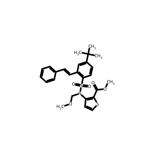 COCN(c1ccsc1C(=O)OC)S(=O)(=O)c1ccc(C(C)(C)C)cc1C=Cc1ccccc1